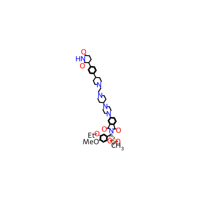 CCOc1cc([C@@H](CS(C)(=O)=O)N2C(=O)c3ccc(N4CCN(C5CCN(CCN6CCC(c7ccc(C8CCC(=O)NC8=O)cc7)CC6)CC5)CC4)cc3C2=O)ccc1OC